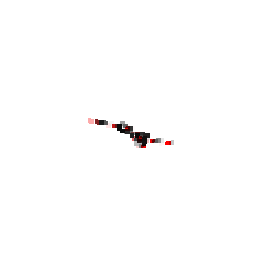 CCCCCCCCCCCCOC(C)c1ccc(-c2ccc(C(=O)Oc3ccccc3OC(CCC)CCCCCCCCCCC)cc2)cc1